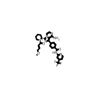 COCC=CC(=O)N1CCCC[C@H]1c1nc(-c2ccc(C(=O)Nc3cc(C(F)(F)F)ccn3)cc2)c2c(N)nccn12